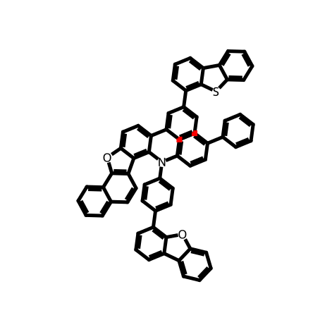 c1ccc(-c2ccc(N(c3ccc(-c4cccc5c4oc4ccccc45)cc3)c3c(-c4cccc(-c5cccc6c5sc5ccccc56)c4)ccc4oc5c6ccccc6ccc5c34)cc2)cc1